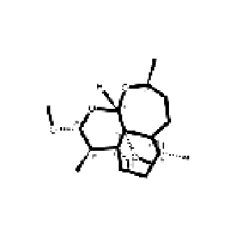 CO[C@@H]1O[C@@H]2O[C@@H](C)CC[C@H]3[C@H](C)CC[C@@H]([C@H]1C)[C@@]23OC